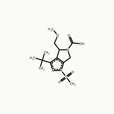 COCC1c2c(C(C)(C)C)nn(S(C)(=O)=O)c2CN1C(=O)O